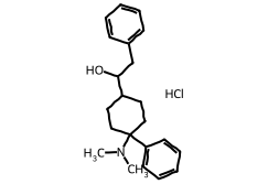 CN(C)C1(c2ccccc2)CCC(C(O)Cc2ccccc2)CC1.Cl